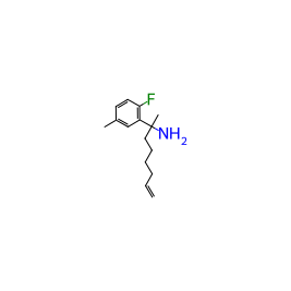 C=CCCCCC(C)(N)c1cc(C)ccc1F